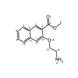 COC(=O)c1cc2ccccc2cc1OCCN